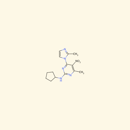 Cc1nc(NC2CCCC2)nc(-n2ccnc2C)c1[N+](=O)[O-]